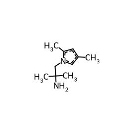 Cc1cc(C)n(CC(C)(C)N)c1